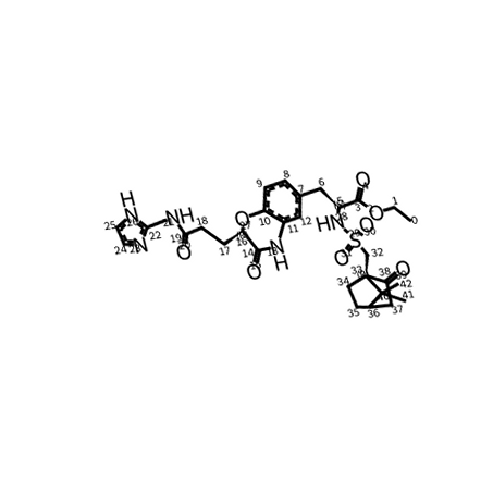 CCOC(=O)[C@H](Cc1ccc2c(c1)NC(=O)[C@@H](CCC(=O)Nc1ncc[nH]1)O2)NS(=O)(=O)C[C@@]12CCC(CC1=O)C2(C)C